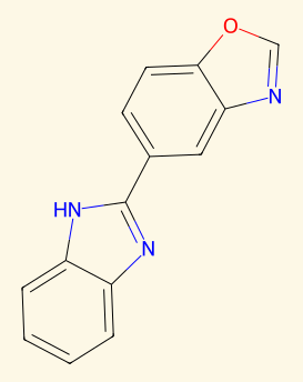 c1ccc2[nH]c(-c3ccc4ocnc4c3)nc2c1